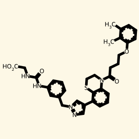 Cc1cccc(OCCCC(=O)N2CCSc3c(-c4cnn(Cc5cccc(NC(=O)NCC(=O)O)c5)c4)cccc32)c1C